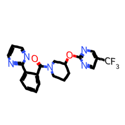 O=C(c1ccccc1-c1ncccn1)N1CCCC(Oc2ncc(C(F)(F)F)cn2)C1